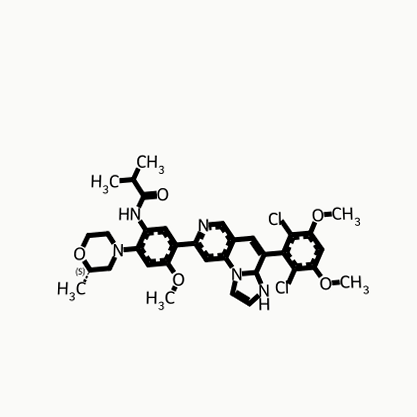 COc1cc(N2CCO[C@@H](C)C2)c(NC(=O)C(C)C)cc1-c1cc2c(cn1)C=C(c1c(Cl)c(OC)cc(OC)c1Cl)C1NC=CN21